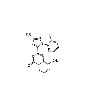 Cc1cccc2c(=O)oc(-c3cc(C(F)(F)F)nn3-c3ncccc3Cl)nc12